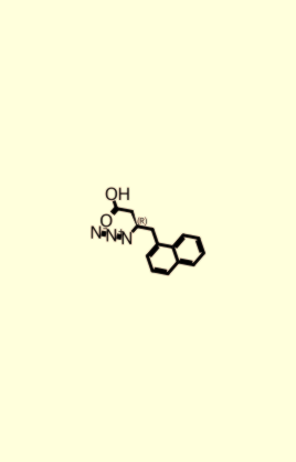 [N-]=[N+]=N[C@@H](CC(=O)O)Cc1cccc2ccccc12